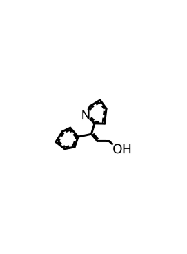 OC/C=C(/c1ccccc1)c1ccccn1